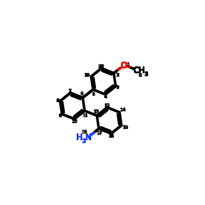 COc1ccc(-c2ccccc2-c2ccccc2N)cc1